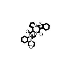 O=C(NC1CCCCC1)C1c2cccn2-c2sc3c(c2C(=O)N1CCN1CCOCC1)CCCC3